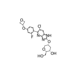 OC[C@H]1OC[C@H](Oc2nc3nc(-c4ccc(OC5COC5)cc4F)c(Cl)cc3[nH]2)C[C@@H]1O